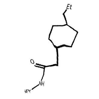 CCC1CCC(CC(=O)NC(C)C)CC1